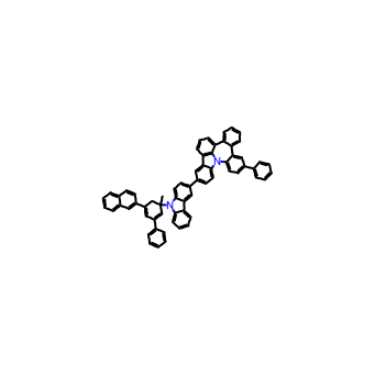 CC1(n2c3ccccc3c3cc(-c4ccc5c(c4)c4cccc6c4n5-c4ccc(-c5ccccc5)cc4-c4ccccc4-6)ccc32)C=C(c2ccccc2)C=C(c2ccc3ccccc3c2)C1